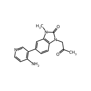 CC(=O)Cn1c(=O)n(C)c2cc(-c3cnccc3N)ccc21